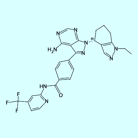 CCn1ncc2c1CCC[C@H]2n1nc(-c2ccc(C(=O)Nc3cc(C(F)(F)F)ccn3)cc2)c2c(N)ncnc21